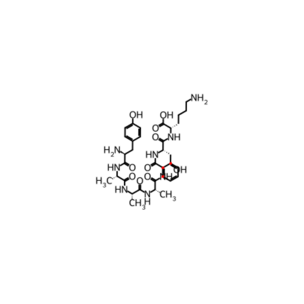 C[C@H](NC(=O)[C@H](C)NC(=O)[C@@H](N)Cc1ccc(O)cc1)C(=O)N[C@@H](C)C(=O)N[C@@H](CO)C(=O)N[C@@H](Cc1ccccc1)C(=O)N[C@@H](CCCCN)C(=O)O